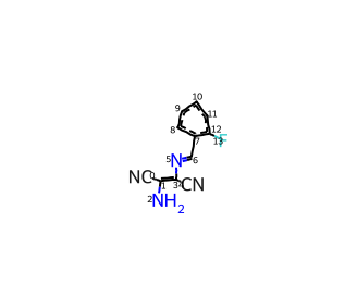 N#C/C(N)=C(C#N)\N=C\c1ccccc1F